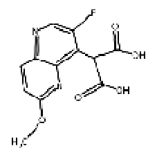 COc1ccc2ncc(F)c(C(C(=O)O)C(=O)O)c2n1